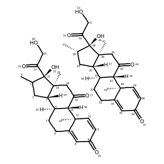 CC1C[C@H]2[C@@H]3CCC4=CC(=O)C=C[C@]4(C)[C@H]3C(=O)C[C@]2(C)[C@@]1(O)C(=O)CO.C[C@H]1C[C@H]2[C@@H]3CCC4=CC(=O)C=C[C@]4(C)[C@H]3C(=O)C[C@]2(C)[C@@]1(O)C(=O)CO